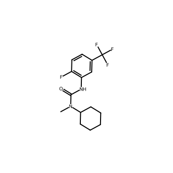 CN(C(=O)Nc1cc(C(F)(F)F)ccc1F)C1CCCCC1